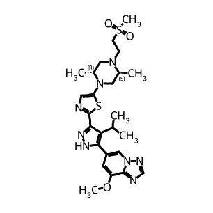 COc1cc(-c2[nH]nc(-c3ncc(N4C[C@H](C)N(CCS(C)(=O)=O)C[C@H]4C)s3)c2C(C)C)cn2ncnc12